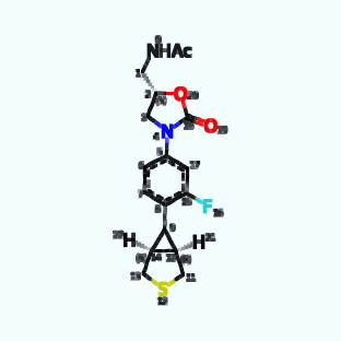 CC(=O)NC[C@H]1CN(c2ccc(C3[C@H]4CSC[C@@H]34)c(F)c2)C(=O)O1